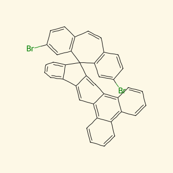 Brc1ccc2c(c1)C1(c3cc(Br)ccc3C=C2)c2ccccc2-c2cc3c4ccccc4c4ccccc4c3cc21